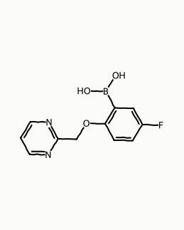 OB(O)c1cc(F)ccc1OCc1ncccn1